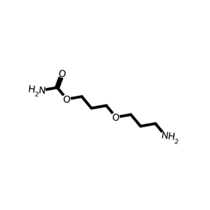 NCCCOCCCOC(N)=O